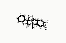 OC(c1ccccc1)(c1nc2cc(Cl)c(Cl)cc2[nH]1)C(F)(F)F